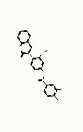 COc1cc(NC(=O)c2ccc(C)c(Cl)c2)ccc1-c1cc2ccccc2oc1=O